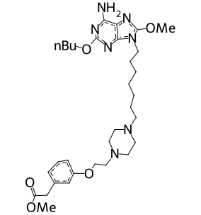 CCCCOc1nc(N)c2nc(OC)n(CCCCCCCN3CCN(CCOc4cccc(CC(=O)OC)c4)CC3)c2n1